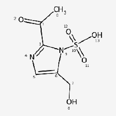 CC(=O)c1ncc(CO)n1S(=O)(=O)O